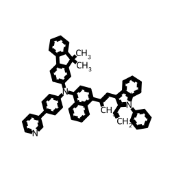 C=Cc1c(/C=C(\C)c2ccc(N(c3ccc(-c4cccnc4)cc3)c3ccc4c(c3)C(C)(C)c3ccccc3-4)c3ccccc23)c2ccccc2n1-c1ccccc1